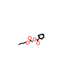 CCCCOC(=O)[CH]OC(=O)c1ccccc1